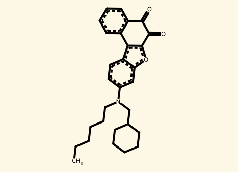 CCCCCCN(CC1CCCCC1)c1ccc2c3c(oc2c1)C(=O)C(=O)c1ccccc1-3